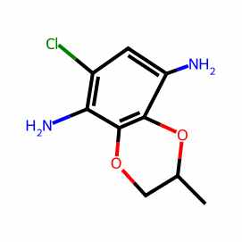 CC1COc2c(N)c(Cl)cc(N)c2O1